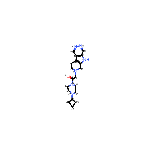 O=C(CN1CCc2c([nH]c3cnncc23)C1)N1CCN(C2CCC2)CC1